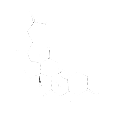 C[C@H](CCC(=O)Cl)[C@H]1CC[C@H]2[C@@H]3C(=O)C[C@@H]4CC(=O)CC[C@]4(C)[C@H]3CC(=O)[C@]12C